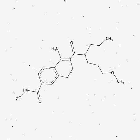 CCCN(CCCOC)C(=O)C1=C(C)c2ccc(C(=O)NO)cc2CC1